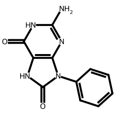 Nc1nc2c([nH]c(=O)n2-c2ccccc2)c(=O)[nH]1